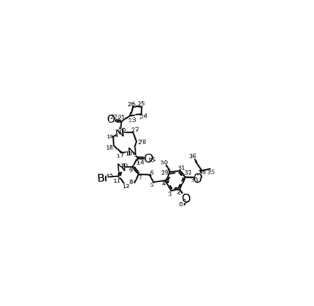 COc1cc(CC/C(C)=C(/N=C(\C)Br)C(=O)N2CCCN(C(=O)C3CCC3)CC2)c(C)cc1OC(C)C